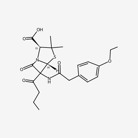 CCCC(=O)C1(NC(=O)Cc2ccc(OCC)cc2)C(=O)N2[C@@H](C(=O)O)C(C)(C)S[C@@H]21